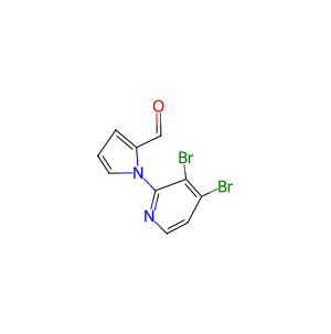 O=Cc1cccn1-c1nccc(Br)c1Br